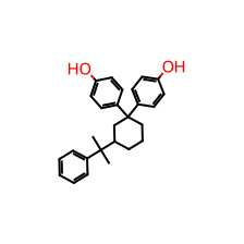 CC(C)(c1ccccc1)C1CCCC(c2ccc(O)cc2)(c2ccc(O)cc2)C1